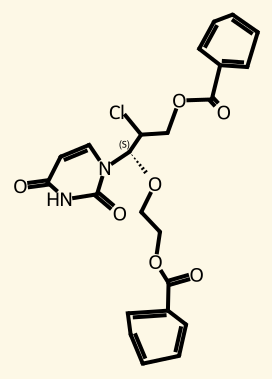 O=C(OCCO[C@@H](C(Cl)COC(=O)c1ccccc1)n1ccc(=O)[nH]c1=O)c1ccccc1